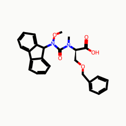 CON(C(=O)N(C)[C@H](COCc1ccccc1)C(=O)O)C1c2ccccc2-c2ccccc21